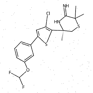 CC1(C)SC[C@@](C)(c2sc(-c3cccc(OC(F)F)c3)cc2Cl)NC1=N